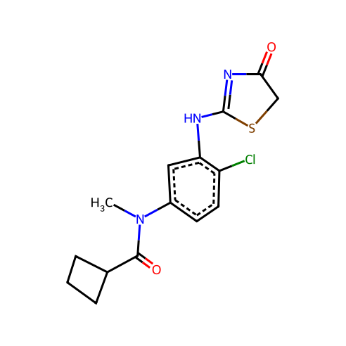 CN(C(=O)C1CCC1)c1ccc(Cl)c(NC2=NC(=O)CS2)c1